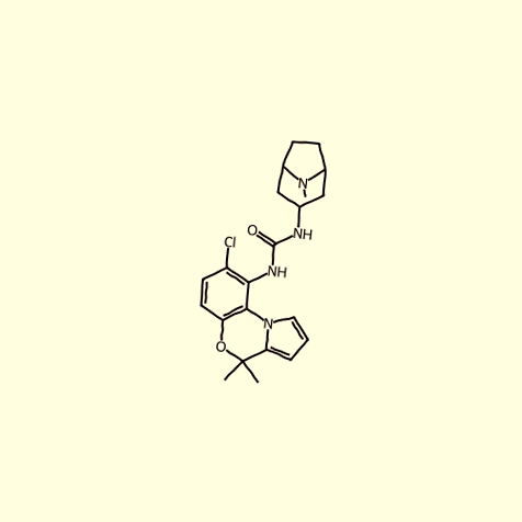 CN1C2CCC1CC(NC(=O)Nc1c(Cl)ccc3c1-n1cccc1C(C)(C)O3)C2